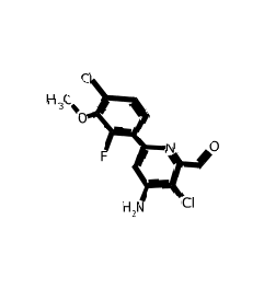 COc1c(Cl)ccc(-c2cc(N)c(Cl)c(C=O)n2)c1F